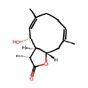 CC1=C[C@@H](O)[C@H]2[C@H](CC(C)=CCC1)OC(=O)[C@@H]2C